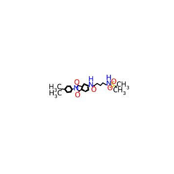 CC(C)c1ccc(N2C(=O)c3ccc(NC(=O)CCCCNS(=O)(=O)C(C)C)cc3C2=O)cc1